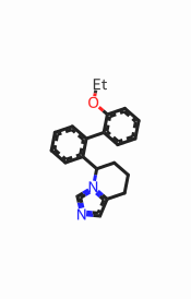 CCOc1ccccc1-c1ccccc1C1CCCc2cncn21